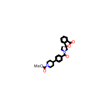 COC(=O)N1CCC(c2ccc(C(=O)N3CC[C@@]4(C3)OC(=O)c3ccccc34)cc2)CC1